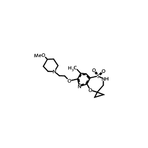 COC1CCN(CCOc2nc3c(cc2C)S(=O)(=O)NCC2(CC2)O3)CC1